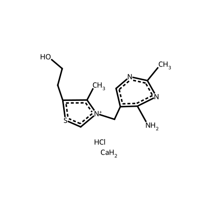 Cc1ncc(C[n+]2csc(CCO)c2C)c(N)n1.Cl.[CaH2]